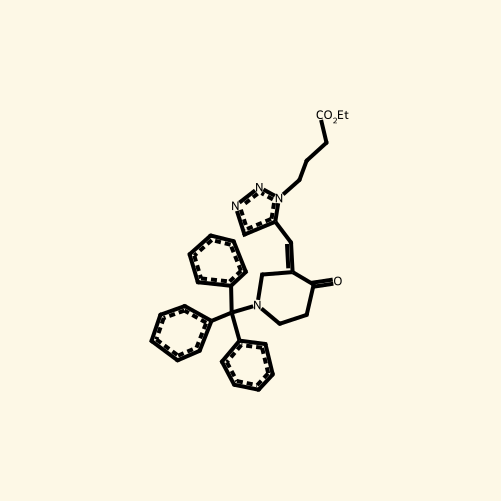 CCOC(=O)CCCn1nncc1/C=C1\CN(C(c2ccccc2)(c2ccccc2)c2ccccc2)CCC1=O